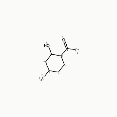 CCC(=O)C1CCC(C)CC1O